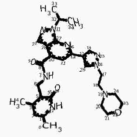 Cc1cc(C)c(CNC(=O)c2cc(-c3cnn(CCN4CCOCC4)c3)nc3c2cnn3C(C)C)c(=O)[nH]1